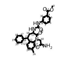 COC(=O)c1cccc(NC(=O)NC2CC(c3ccccc3)c3ccc(C)cc3N(CC(N)=O)C2=O)c1